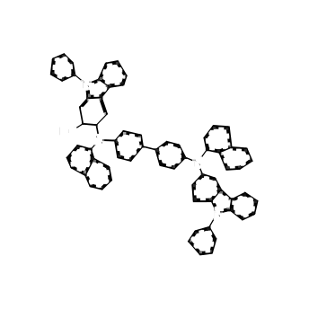 CC1C=c2c(c3ccccc3n2-c2ccccc2)=CC1N(c1ccc(-c2ccc(N(c3ccc4c(c3)c3ccccc3n4-c3ccccc3)c3cccc4ccccc34)cc2)cc1)c1cccc2ccccc12